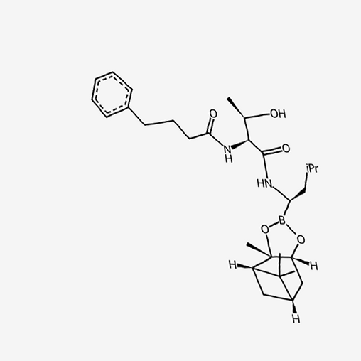 CC(C)C[C@H](NC(=O)[C@@H](NC(=O)CCCc1ccccc1)[C@@H](C)O)B1O[C@@H]2C[C@@H]3C[C@@H](C3(C)C)[C@]2(C)O1